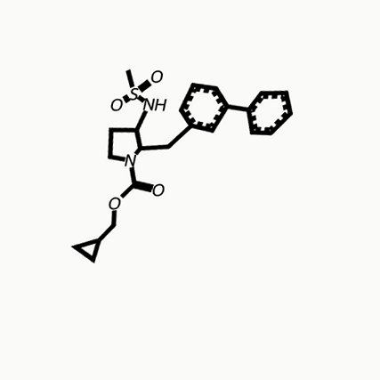 CS(=O)(=O)NC1CCN(C(=O)OCC2CC2)C1Cc1cccc(-c2ccccc2)c1